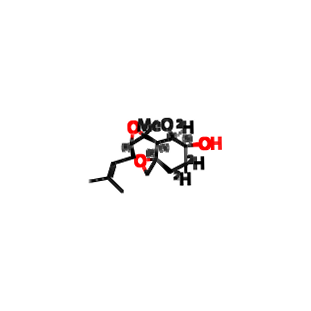 [2H]C1([2H])C[C@]2(CO2)[C@@H](C2(C)O[C@@H]2CC=C(C)C)[C@@]([2H])(OC)[C@H]1O